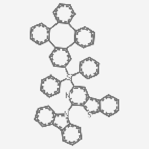 c1ccc([Si](c2ccccc2)(c2ccc3c(c2)-c2ccccc2-c2ccccc2-c2ccccc2-3)c2cc3c(sc4ccccc43)c(-n3c4ccccc4c4ccccc43)n2)cc1